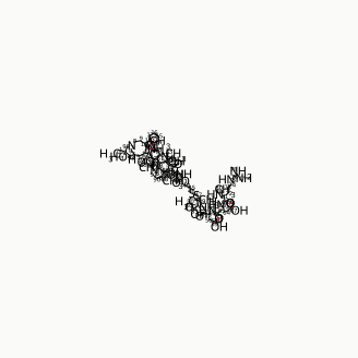 CC[C@]1(O)C[C@H]2CN(CCc3c([nH]c4ccccc34)[C@@](C(=O)OC)(c3cc4c(cc3OC)N(C)[C@H]3[C@@](O)(C(=O)NNC(=O)OCCSSC(C)(C)[C@H](NC(=O)[C@H](CC(=O)O)NC(=O)[C@H](CC(=O)O)NC(=O)[C@H](CCCNC(=N)N)NC)C(=O)O)[C@H](O)[C@]5(CC)C=CCN6CC[C@]43[C@@H]65)C2)C1